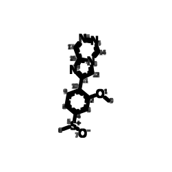 COc1cc([S+](C)[O-])ccc1-c1cn2cnncc2n1